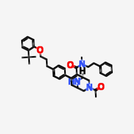 CC(=O)N1CC2CC(c3ccc(CCCOc4ccccc4C(C)(C)C)cc3)=C(C(=O)N(C)CCc3ccccc3)[C@@H](C1)N2